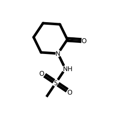 CS(=O)(=O)NN1CCCCC1=O